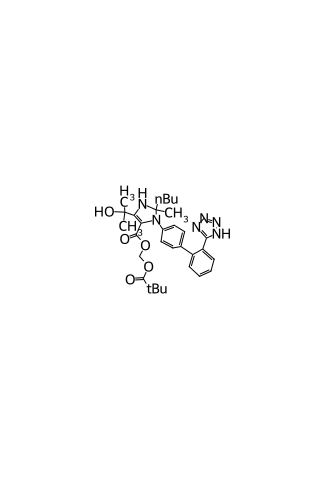 CCCCC1(C)NC(C(C)(C)O)=C(C(=O)OCOC(=O)C(C)(C)C)N1c1ccc(-c2ccccc2-c2nnn[nH]2)cc1